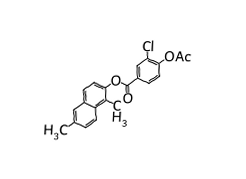 CC(=O)Oc1ccc(C(=O)Oc2ccc3cc(C)ccc3c2C)cc1Cl